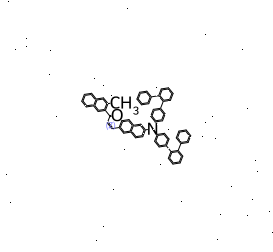 Cc1cc2ccccc2cc1C(=O)/C=C\c1ccc2cc(N(c3ccc(-c4ccccc4-c4ccccc4)cc3)c3ccc(-c4ccccc4-c4ccccc4)cc3)ccc2c1